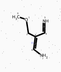 COC/C(C=N)=C/N